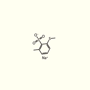 CSc1cccc(C)c1S(=O)(=O)[O-].[Na+]